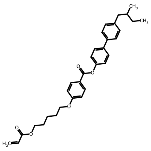 C=CC(=O)OCCCCCOc1ccc(C(=O)Oc2ccc(-c3ccc(CC(C)CC)cc3)cc2)cc1